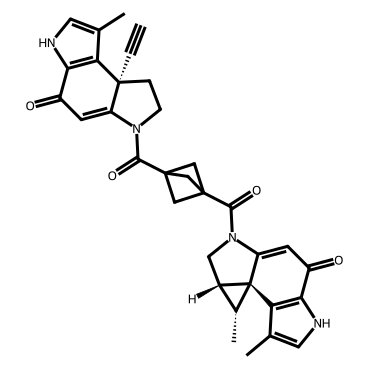 C#C[C@]12CCN(C(=O)C34CC(C(=O)N5C[C@H]6[C@@H](C)[C@@]67C5=CC(=O)c5[nH]cc(C)c57)(C3)C4)C1=CC(=O)c1[nH]cc(C)c12